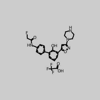 O=C(CF)Nc1ccc(-c2cccc(-c3cc(N4CCNCC4)no3)c2O)cc1.O=C(O)C(F)(F)F